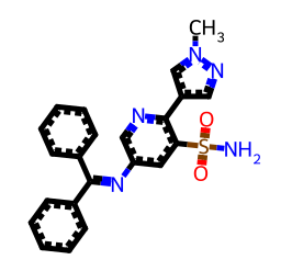 Cn1cc(-c2ncc(N=C(c3ccccc3)c3ccccc3)cc2S(N)(=O)=O)cn1